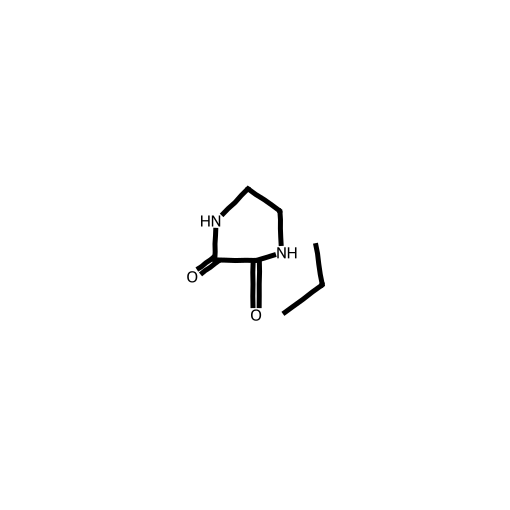 CCC.O=C1NCCNC1=O